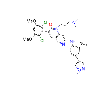 COc1cc(OC)c(Cl)c(-c2cc3cnc(Nc4ccc(-c5cnn(C)c5)cc4[N+](=O)[O-])cc3n(CCCN(C)C)c2=O)c1Cl